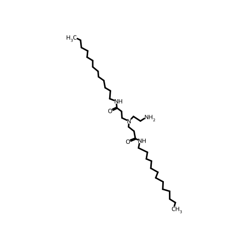 CCCCCCCCCCCCCNC(=O)CCN(CCN)CCC(=O)NCCCCCCCCCCCCC